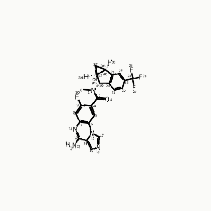 CN(C(=O)c1cc2c(cc1F)nc(N)c1cncn12)[C@H]1c2ccc(C(F)(F)F)cc2[C@@H]2C[C@@H]21